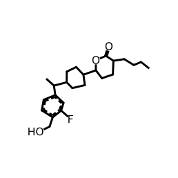 CCCCC1CCC(C2CCC(C(C)c3ccc(CO)c(F)c3)CC2)OC1=O